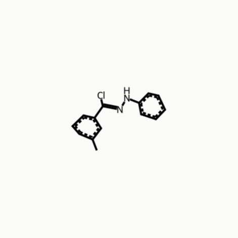 Cc1cccc(C(Cl)=NNc2ccccc2)c1